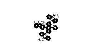 CN1C2=C(C=CCC2)N(c2ccc3c(C4=CCCC=N4)c4cc(N5c6ccccc6N(C)c6ccccc65)ccc4c(C4=CC=C5c6ccccc6C(C)(C)C5C4)c3c2)c2ccccc21